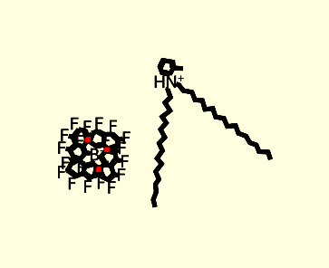 CCCCCCCCCCCCCCCCCC[NH+](CCCCCCCCCCCCCCCCCC)c1ccccc1C.Fc1ccc2c([B-](c3c(F)c(F)c(F)c4c(F)c(F)ccc34)(c3c(F)c(F)c(F)c4c(F)c(F)ccc34)c3c(F)c(F)c(F)c4c(F)c(F)ccc34)c(F)c(F)c(F)c2c1F